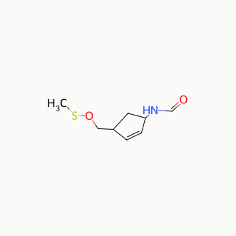 CSOCC1C=CC(NC=O)C1